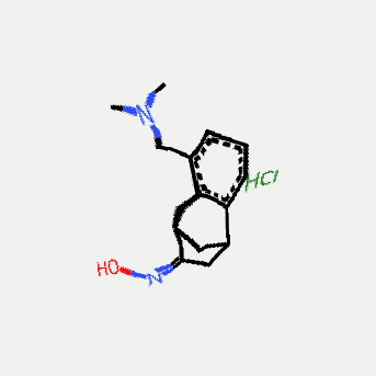 CN(C)Cc1cccc2c1C1CC2CC1=NO.Cl